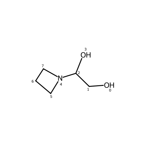 OCC(O)N1CCC1